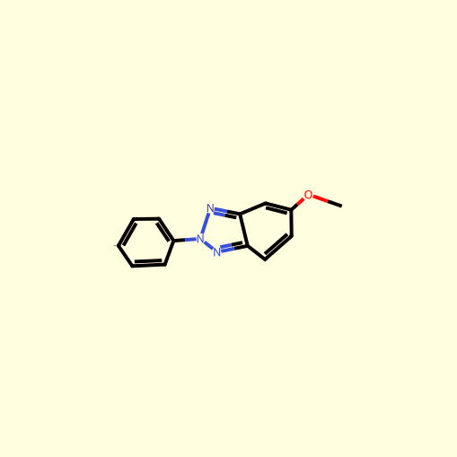 COc1ccc2nn(-c3cc[c]cc3)nc2c1